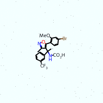 [CH2]C(NC(=O)O)(c1cccc(C(F)(F)F)c1)c1c(C)noc1-c1ccc(Br)cc1OC